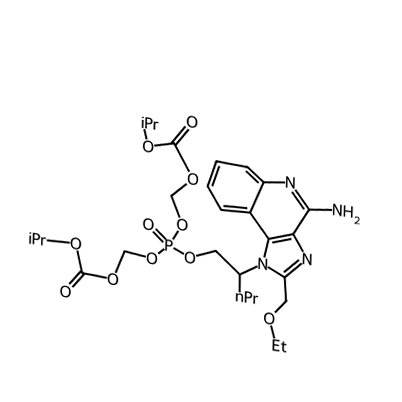 CCCC(COP(=O)(OCOC(=O)OC(C)C)OCOC(=O)OC(C)C)n1c(COCC)nc2c(N)nc3ccccc3c21